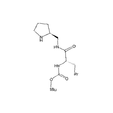 CC(C)C[C@H](NC(=O)OC(C)(C)C)C(=O)NC[C@@H]1CCCN1